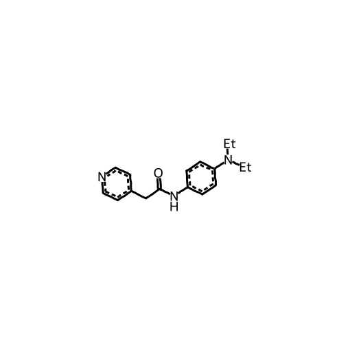 CCN(CC)c1ccc(NC(=O)Cc2ccncc2)cc1